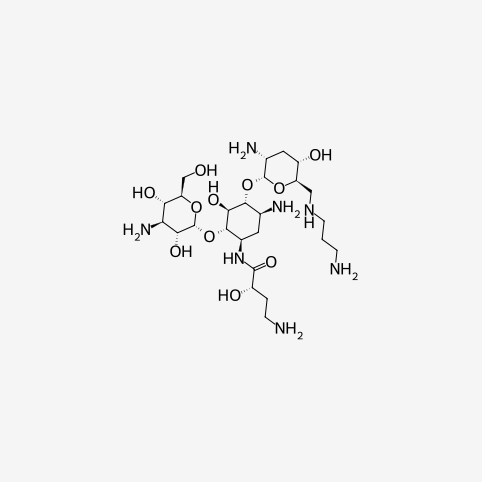 NCCCNC[C@H]1O[C@H](O[C@H]2[C@H](O)[C@@H](O[C@H]3O[C@H](CO)[C@@H](O)[C@H](N)[C@H]3O)[C@H](NC(=O)[C@@H](O)CCN)C[C@@H]2N)[C@H](N)C[C@@H]1O